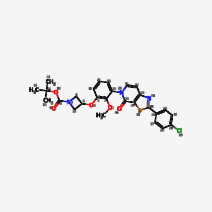 COc1c(OC2CN(C(=O)OC(C)(C)C)C2)cccc1-n1ccc2nc(-c3ccc(Cl)cc3)sc2c1=O